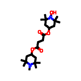 CN1C(C)(C)CC(OC(=O)CCC(=O)OC2CC(C)(C)N(O)C(C)(C)C2)CC1(C)C